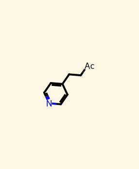 CC(=O)CCc1ccncc1